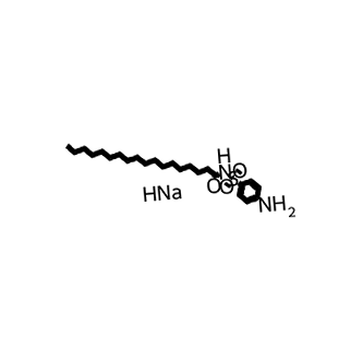 CCCCCCCCCCCCCCCCCC(=O)NS(=O)(=O)c1ccc(N)cc1.[NaH]